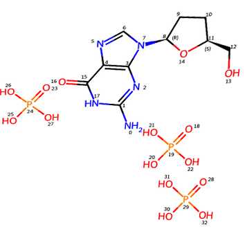 Nc1nc2c(ncn2[C@H]2CC[C@@H](CO)O2)c(=O)[nH]1.O=P(O)(O)O.O=P(O)(O)O.O=P(O)(O)O